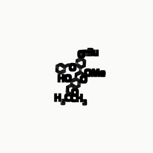 CCCCOc1ccc(C(=Cc2ccc3c(c2O)C=CC(C)(C)O3)C(=O)OC)c(OCc2ccccc2)c1